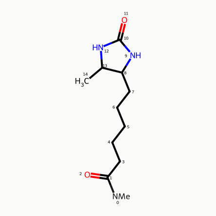 CNC(=O)CCCCCC1NC(=O)NC1C